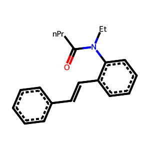 CCCC(=O)N(CC)c1ccccc1C=Cc1ccccc1